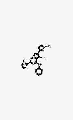 Cc1c(-c2ccn(C)n2)cn2nc(-c3nccn3C)nc(Nc3cnccn3)c12